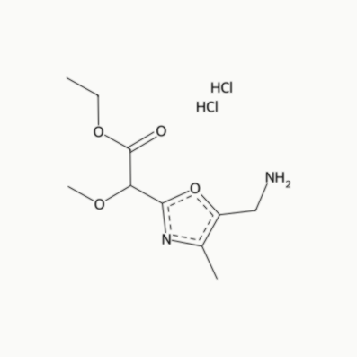 CCOC(=O)C(OC)c1nc(C)c(CN)o1.Cl.Cl